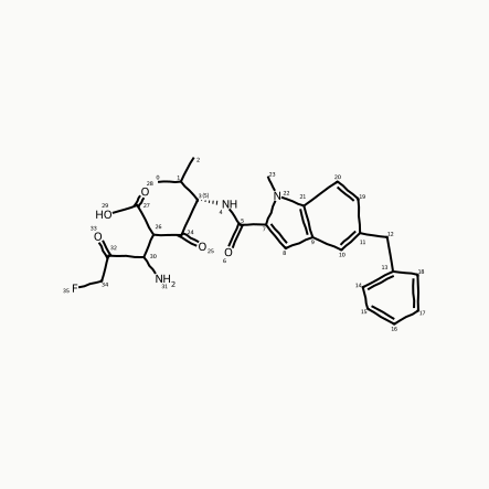 CC(C)[C@H](NC(=O)c1cc2cc(Cc3ccccc3)ccc2n1C)C(=O)C(C(=O)O)C(N)C(=O)CF